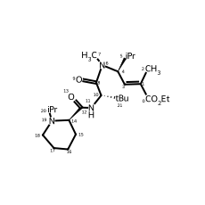 CCOC(=O)/C(C)=C/[C@H](C(C)C)N(C)C(=O)[C@@H](NC(=O)[C@H]1CCCCN1C(C)C)C(C)(C)C